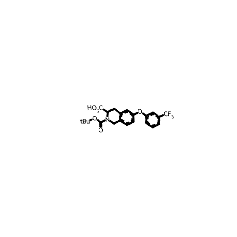 CC(C)(C)OC(=O)N1Cc2ccc(Oc3cccc(C(F)(F)F)c3)cc2CC1C(=O)O